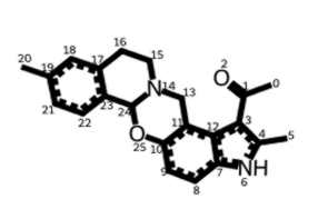 CC(=O)c1c(C)[nH]c2ccc3c(c12)CN1CCc2cc(C)ccc2C1O3